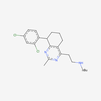 CCCCNCCc1nc(C)nc2c1CCCC2c1ccc(Cl)cc1Cl